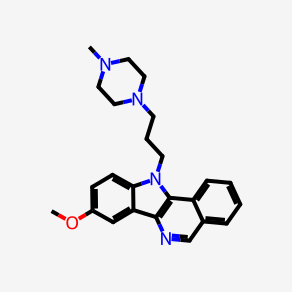 COc1ccc2c(c1)c1ncc3ccccc3c1n2CCCN1CCN(C)CC1